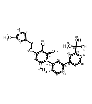 Cc1nc(COc2cc(C)n(-c3ccnc(-c4ccnc(C(C)(C)O)n4)c3)c(=O)c2Cl)cs1